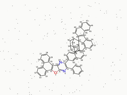 c1ccc(-c2nc3oc4c5ccccc5c5ccccc5c4c3nc2-c2ccc3cc(-c4cccc5c4C4(c6ccc7ccccc7c6-5)C5CC6CC(C5)CC4C6)ccc3c2)cc1